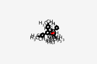 CC1=Cc2c(-c3ccc(C(C)(C)C)cc3)cc(-c3ccc(C(C)(C)C)cc3)cc2[CH]1[Zr]([CH3])([CH3])(=[SiH2])[C]1=C(C(C)C)C=C2C1=CC(C)N2c1ccccc1.Cl.Cl